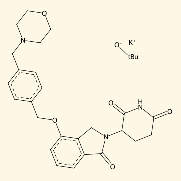 CC(C)(C)[O-].O=C1CCC(N2Cc3c(OCc4ccc(CN5CCOCC5)cc4)cccc3C2=O)C(=O)N1.[K+]